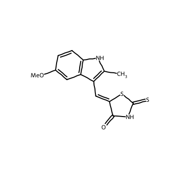 COc1ccc2[nH]c(C)c(/C=C3\SC(=S)NC3=O)c2c1